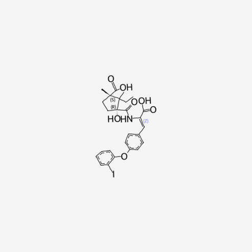 CCC1(C)[C@@](C)(C(=O)O)CC[C@]1(O)C(=O)N/C(=C\c1ccc(Oc2ccccc2I)cc1)C(=O)O